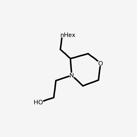 CCCCCCCC1COCCN1CCO